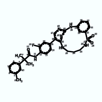 Cc1cccc(C(C)(C)C(=O)Nc2ccc(-c3cnc4nc3NCCCNS(=O)(=O)c3cccc(c3)N4)cc2F)c1